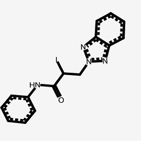 O=C(Nc1ccccc1)C(I)Cn1nc2ccccc2n1